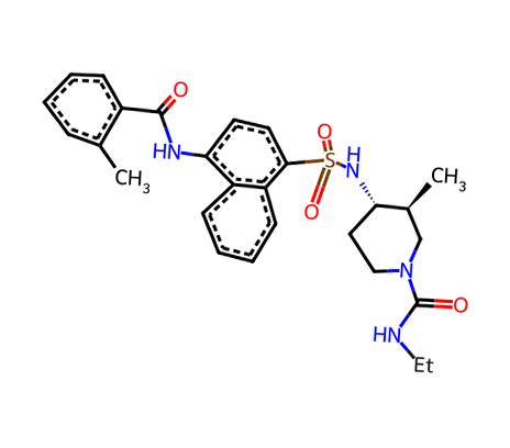 CCNC(=O)N1CC[C@H](NS(=O)(=O)c2ccc(NC(=O)c3ccccc3C)c3ccccc23)[C@@H](C)C1